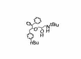 CCCCc1ccc(CC(OCC(O)CNC(C)(C)C)C(=O)c2ccccc2)cc1